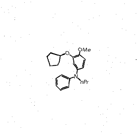 CCCN(c1ccccc1)c1ccc(OC)c(OC2CCCC2)c1